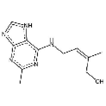 CC(=CCNc1nc(C)nc2nc[nH]c12)CO